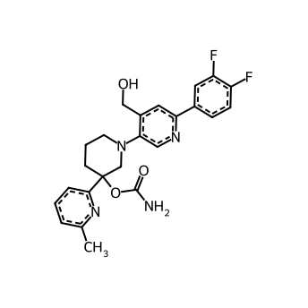 Cc1cccc(C2(OC(N)=O)CCCN(c3cnc(-c4ccc(F)c(F)c4)cc3CO)C2)n1